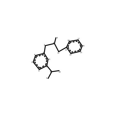 CC([CH]c1cccc(C(C)C)c1)Cc1ccccc1